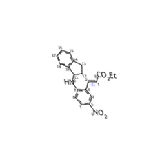 CCOC(=O)/C=C/c1cc([N+](=O)[O-])ccc1NC1CCc2ccccc21